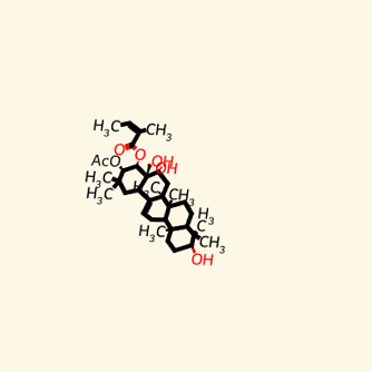 C/C=C(/C)C(=O)O[C@H]1[C@H](OC(C)=O)C(C)(C)CC2C3=CCC4[C@@]5(C)CC[C@H](O)C(C)(C)C5CC[C@@]4(C)[C@]3(C)C[C@@H](O)[C@]21CO